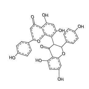 O=C1c2c(O)cc(O)cc2OC(c2ccc(O)cc2)C1c1c(O)cc(O)c2c(=O)cc(-c3ccc(O)cc3)oc12